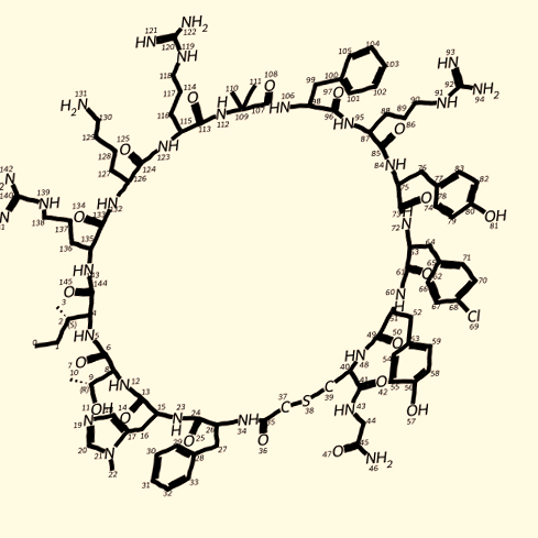 CC[C@H](C)C1NC(=O)C([C@@H](C)O)NC(=O)C(Cc2cncn2C)NC(=O)C(Cc2ccccc2)NC(=O)CSCC(C(=O)NCC(N)=O)NC(=O)C(Cc2ccc(O)cc2)NC(=O)C(Cc2ccc(Cl)cc2)NC(=O)C(Cc2ccc(O)cc2)NC(=O)C(CCCNC(=N)N)NC(=O)C(Cc2ccccc2)NC(=O)C(C)(C)NC(=O)C(CCCNC(=N)N)NC(=O)C(CCCCN)NC(=O)C(CCCNC(=N)N)NC1=O